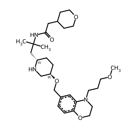 COCCCN1CCOc2ccc(CO[C@@H]3CC[C@@H](CC(C)(C)NC(=O)CC4CCOCC4)NC3)cc21